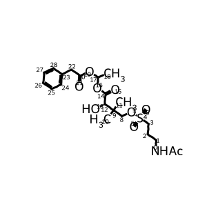 CC(=O)NCCCS(=O)(=O)OCC(C)(C)[C@@H](O)C(=O)OC(C)OC(=O)Cc1ccccc1